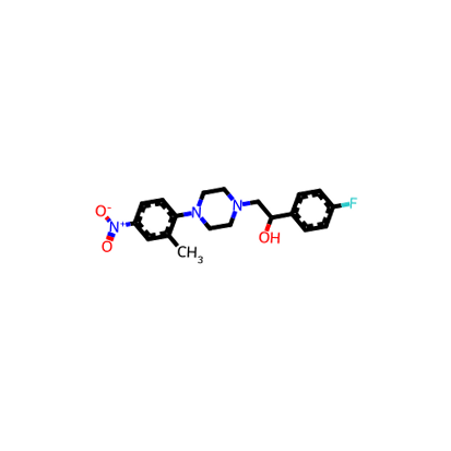 Cc1cc([N+](=O)[O-])ccc1N1CCN(CC(O)c2ccc(F)cc2)CC1